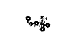 CC(C)(C)NC(=O)O[C@H](C(=O)Nc1ccc(-c2cnn(Cc3ccccc3)c2)c(F)c1)C(c1ccccc1)c1ccccc1